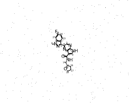 Cn1nc(-c2cnc3[nH]cc(C(=O)NC[C@H]4CCCO4)c3n2)c2ccc(F)cc21